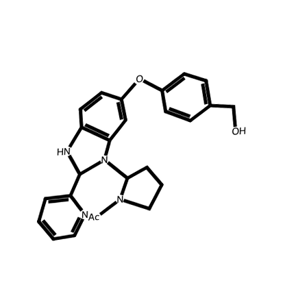 CC(=O)N1CCCC1N1c2cc(Oc3ccc(CO)cc3)ccc2NC1c1ccccn1